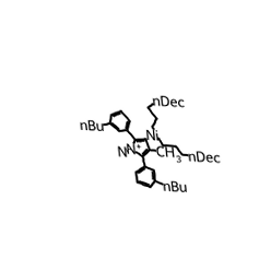 CCCCCCCCCCCC[CH2][Ni][CH2]CCCCCCCCCCCC.CCCCc1cccc(C2=CC(C)=C(c3cccc(CCCC)c3)[N+]2=[N-])c1